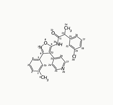 Cc1cccc(-c2noc(NC(=O)C(C)c3cccc(Cl)c3)c2-c2ccncc2)c1